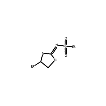 CCC1C[N]C(=NS(=O)(=O)CC)S1